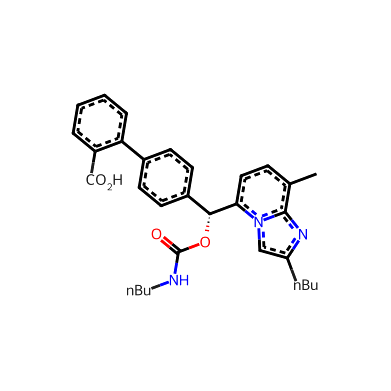 CCCCNC(=O)O[C@H](c1ccc(-c2ccccc2C(=O)O)cc1)c1ccc(C)c2nc(CCCC)cn12